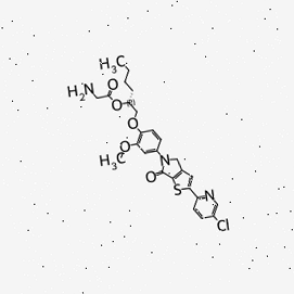 CCCC[C@H](COc1ccc(N2Cc3cc(-c4ccc(Cl)cn4)sc3C2=O)cc1OC)OC(=O)CN